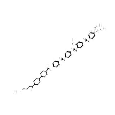 CCCCC(=O)C1CCC(C2CCC(C(=O)Oc3ccc(N=Nc4ccc(N=Nc5ccc(N=Nc6ccc(N(CC)CC)cc6)cc5C)cc4)cc3)CC2)CC1